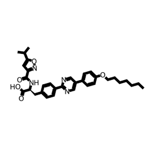 CCCCCCCOc1ccc(-c2cnc(-c3ccc(C[C@H](NC(=O)c4cc(C(C)C)on4)C(=O)O)cc3)nc2)cc1